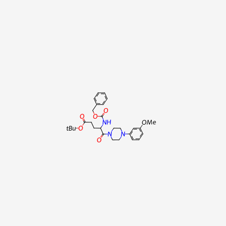 COc1cccc(N2CCN(C(=O)C(CCC(=O)OC(C)(C)C)NC(=O)OCc3ccccc3)CC2)c1